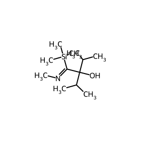 CN=C(C(O)(C(C)C)C(C)C)[Si](C)(C)C